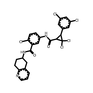 O=C(NC1CCc2ncccc2C1)c1cc(NC(=O)C2C(c3cc(Cl)cc(Cl)c3)C2(Cl)Cl)ccc1Cl